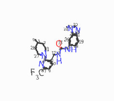 CC1CCN(c2nc(C(F)(F)F)ccc2CNC(=O)Nc2ccc3ncn(C)c3c2)CC1